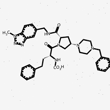 Cn1nnc2cc(CNC(=O)[C@@H]3C[C@H](N4CCN(Cc5ccccc5)CC4)CN3C(=O)[C@@H](CCc3ccccc3)NC(=O)O)ccc21